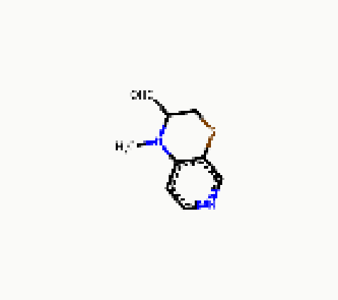 CN1c2ccncc2SCC1C=O